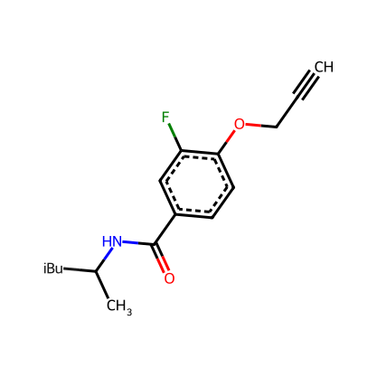 C#CCOc1ccc(C(=O)NC(C)C(C)CC)cc1F